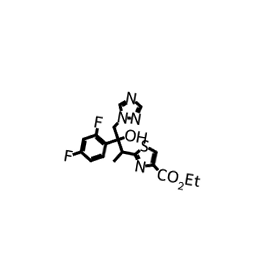 CCOC(=O)c1csc(C(C)C(O)(Cn2cncn2)c2ccc(F)cc2F)n1